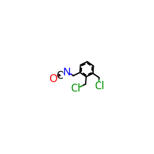 O=C=NCc1cccc(CCl)c1CCl